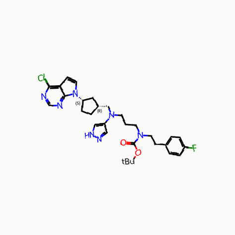 CC(C)(C)OC(=O)N(CCCN(C[C@@H]1CC[C@H](n2ccc3c(Cl)ncnc32)C1)c1cn[nH]c1)CCc1ccc(F)cc1